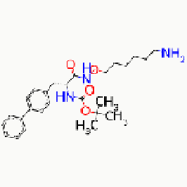 CC(C)(C)OC(=O)N[C@H](Cc1ccc(-c2ccccc2)cc1)C(=O)NOCCCCCCN